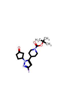 CC(C)(C)OC(=O)N1CCC(c2cc(I)nn2C2CCC(=O)C2)CC1